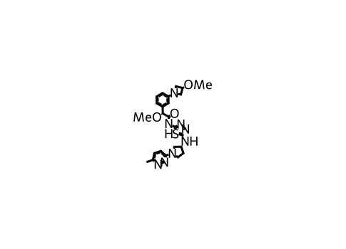 COC1CN(c2cccc([C@@H](OC)C(=O)Nc3nnc(N[C@@H]4CCN(c5ccc(C)nn5)C4)s3)c2)C1